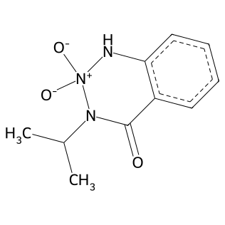 CC(C)N1C(=O)c2ccccc2N[N+]1([O-])[O-]